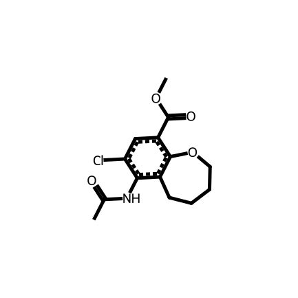 COC(=O)c1cc(Cl)c(NC(C)=O)c2c1OCCCC2